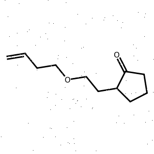 C=CCCOCCC1CCCC1=O